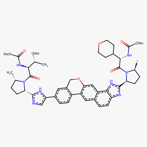 COC(=O)N[C@H](C(=O)N1[C@@H](I)CC[C@H]1c1nc2ccc3cc4c(cc3c2[nH]1)OCc1cc(-c2cnc([C@@H]3CC[C@H](C)N3C(=O)[C@@H](NC(=O)OC)[C@@H](C)OC)[nH]2)ccc1-4)C1CCOCC1